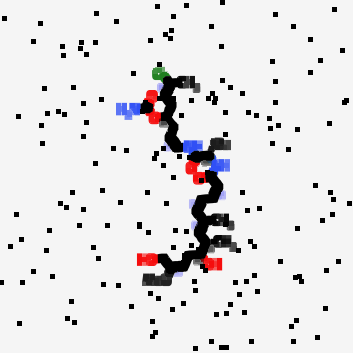 CO/C(=C/C[C@H](O)[C@@H](C)/C=C(C)/C=C\C=C/C(=O)N[C@H](C(=O)N/C=C\C[C@H](C/C=C(\C)Cl)OC(N)=O)C(C)(C)C)CO